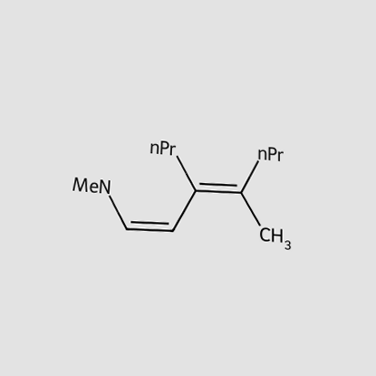 CCC/C(C)=C(/C=C\NC)CCC